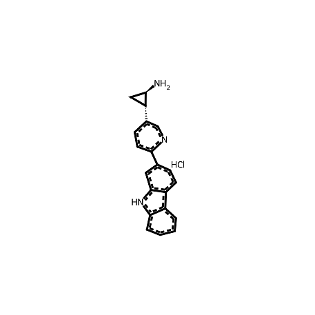 Cl.N[C@@H]1C[C@H]1c1ccc(-c2ccc3c(c2)[nH]c2ccccc23)nc1